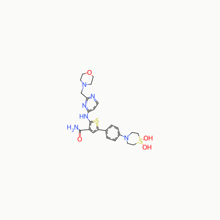 NC(=O)c1cc(-c2ccc(N3CCS(O)(O)CC3)cc2)sc1Nc1ccnc(CN2CCOCC2)n1